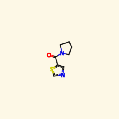 O=C(c1cncs1)N1CCCC1